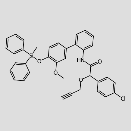 C#CCOC(C(=O)Nc1ccccc1-c1ccc(O[Si](C)(c2ccccc2)c2ccccc2)c(OC)c1)c1ccc(Cl)cc1